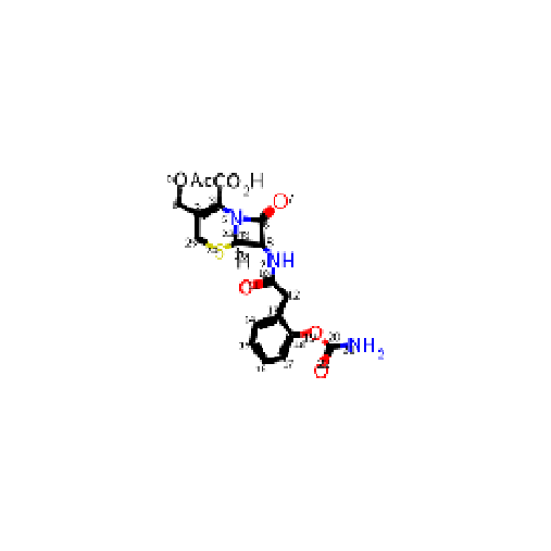 CC(=O)OCC1=C(C(=O)O)N2C(=O)C(NC(=O)Cc3ccccc3OC(N)=O)[C@H]2SC1